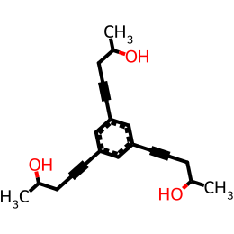 CC(O)CC#Cc1cc(C#CCC(C)O)cc(C#CCC(C)O)c1